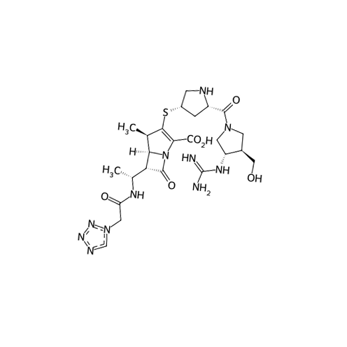 C[C@@H](NC(=O)Cn1cnnn1)[C@H]1C(=O)N2C(C(=O)O)=C(S[C@@H]3CN[C@H](C(=O)N4C[C@@H](CO)[C@H](NC(=N)N)C4)C3)[C@H](C)[C@H]12